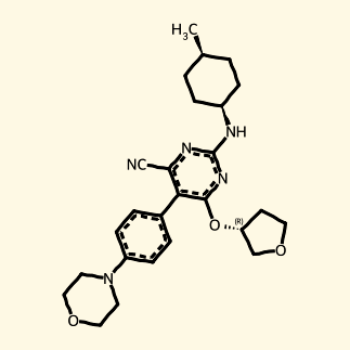 C[C@H]1CC[C@@H](Nc2nc(C#N)c(-c3ccc(N4CCOCC4)cc3)c(O[C@@H]3CCOC3)n2)CC1